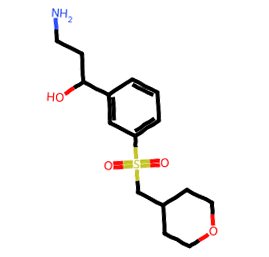 NCCC(O)c1cccc(S(=O)(=O)CC2CCOCC2)c1